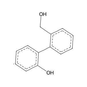 OCc1ccccc1-c1cc[c]cc1O